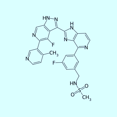 Cc1ccncc1-c1ncc2[nH]nc(-c3nc4c(-c5cc(F)cc(CNS(C)(=O)=O)c5)nccc4[nH]3)c2c1F